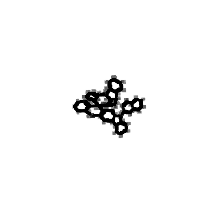 c1ccc2c(c1)Sc1cc3c4ccccc4n(-c4ccc5ccccc5c4)c3cc1C21c2ccccc2-n2c3ccccc3c3cccc1c32